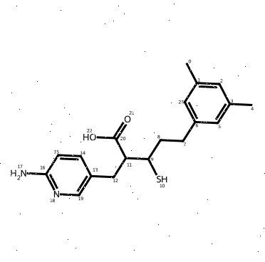 Cc1cc(C)cc(CCC(S)C(Cc2ccc(N)nc2)C(=O)O)c1